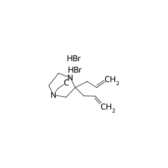 Br.Br.C=CCC1(CC=C)CN2CCN1CC2